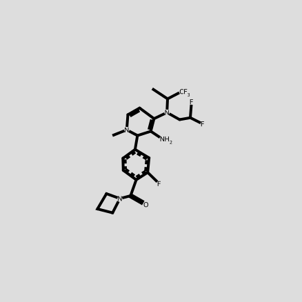 CC(N(CC(F)F)C1=C(N)C(c2ccc(C(=O)N3CCC3)c(F)c2)N(C)C=C1)C(F)(F)F